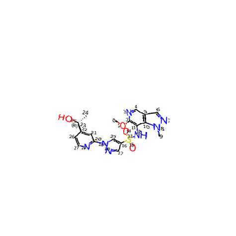 COc1ncc2cnn(C)c2c1NS(=O)(=O)c1cnn(-c2cc([C@@H](C)O)ccn2)c1